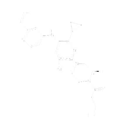 C=Cc1cc(Nc2cc(N)c(N3CCN(C(=O)CCO)[C@H](C)C3)nc2C2CC2)ccn1